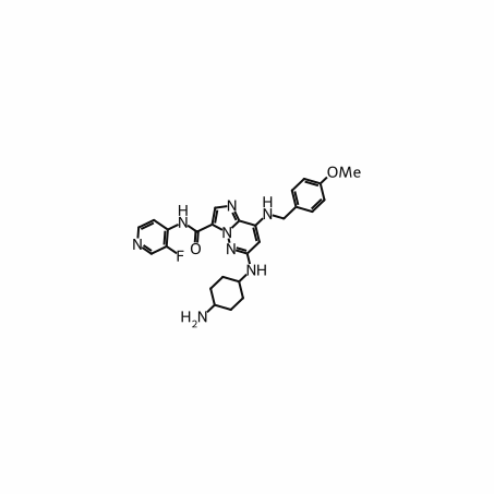 COc1ccc(CNc2cc(NC3CCC(N)CC3)nn3c(C(=O)Nc4ccncc4F)cnc23)cc1